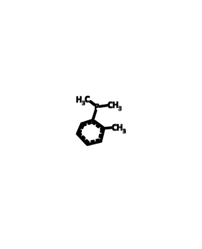 Cc1ccccc1P(C)C